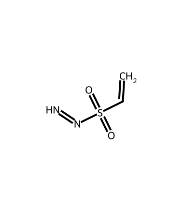 C=CS(=O)(=O)N=N